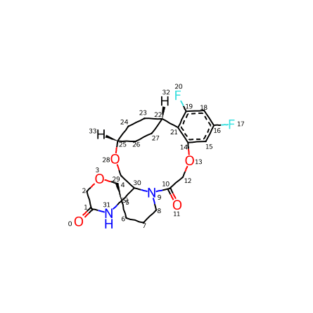 O=C1COC[C@@]2(CCCN3C(=O)COc4cc(F)cc(F)c4[C@H]4CC[C@H](CC4)OCC32)N1